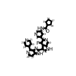 O=C(Nc1cncc(-c2ncc3[nH]nc(-c4nc5c(-c6ccncc6)nccc5[nH]4)c3c2F)c1)C1CCCC1